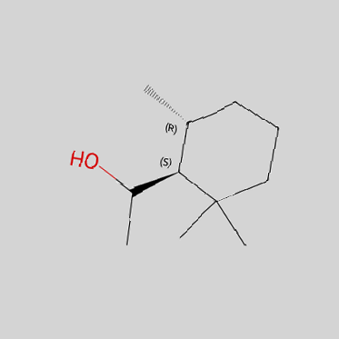 CC(O)[C@H]1[C@H](C)CCCC1(C)C